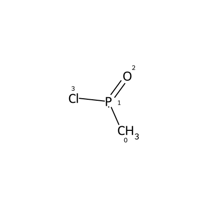 C[P](=O)Cl